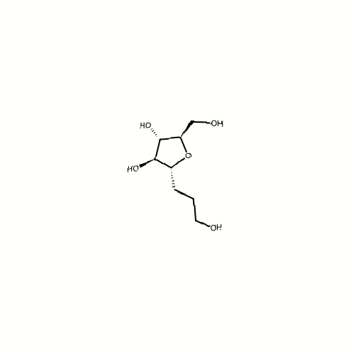 OCCC[C@H]1O[C@H](CO)[C@@H](O)[C@@H]1O